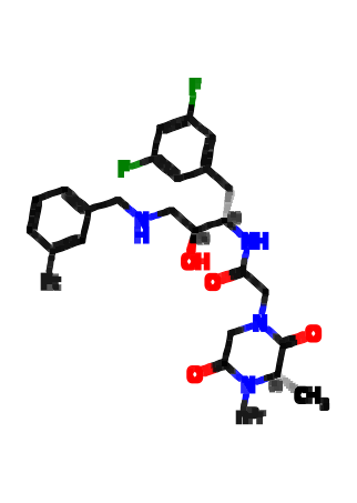 CCCN1C(=O)CN(CC(=O)N[C@@H](Cc2cc(F)cc(F)c2)[C@@H](O)CNCc2cccc(CC)c2)C(=O)[C@@H]1C